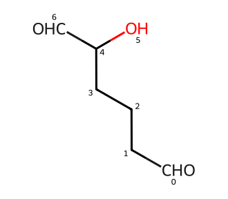 O=CCCCC(O)C=O